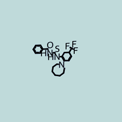 O=C(NC(=S)NC1=C(N2CCCCCCC2)C=CC(C(F)(F)F)C1)c1ccccc1